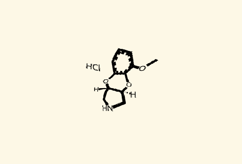 COc1cccc2c1O[C@H]1CNC[C@@H]1O2.Cl